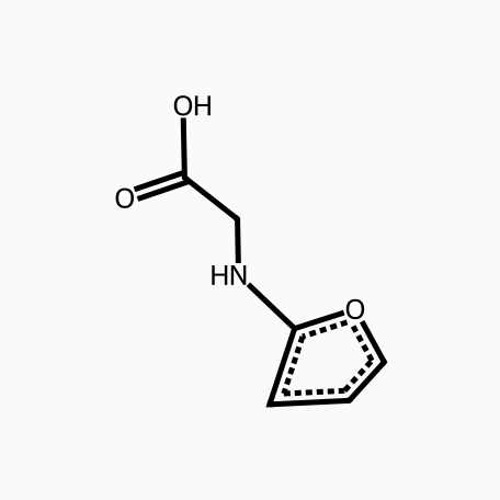 O=C(O)CNc1ccco1